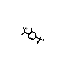 Cc1cc(C(F)(F)F)ccc1C(C)O